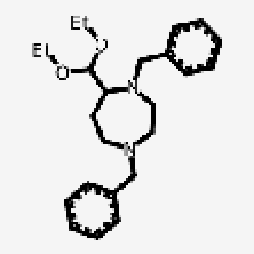 CCOC(OCC)C1CCN(Cc2ccccc2)CCN1Cc1ccccc1